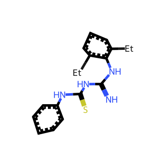 CCc1cccc(CC)c1NC(=N)NC(=S)Nc1ccccc1